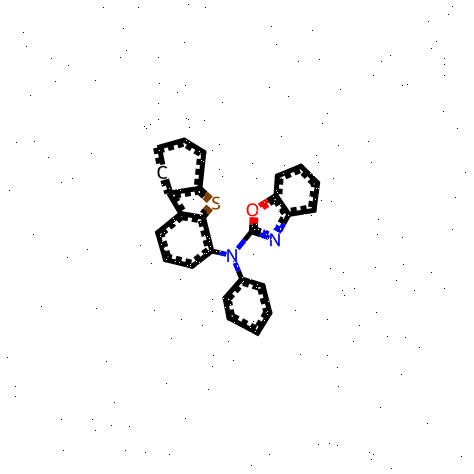 c1ccc(N(c2nc3ccccc3o2)c2cccc3c2sc2ccccc23)cc1